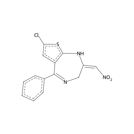 O=[N+]([O-])C=C1CN=C(c2ccccc2)c2cc(Cl)sc2N1